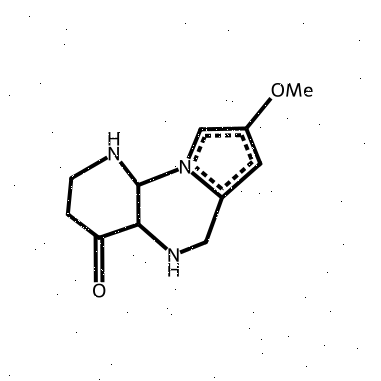 COc1cc2n(c1)C1NCCC(=O)C1NC2